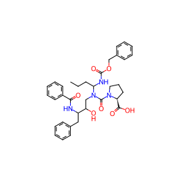 CCCC(NC(=O)OCc1ccccc1)N(CC(O)C(Cc1ccccc1)NC(=O)c1ccccc1)C(=O)N1CCC[C@H]1C(=O)O